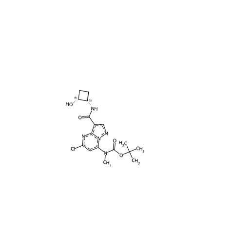 CN(C(=O)OC(C)(C)C)c1cc(Cl)nc2c(C(=O)N[C@H]3CC[C@H]3O)cnn12